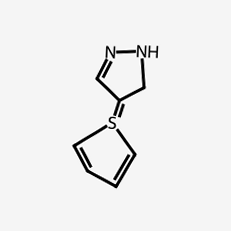 C1=CS(=C2C=NNC2)C=C1